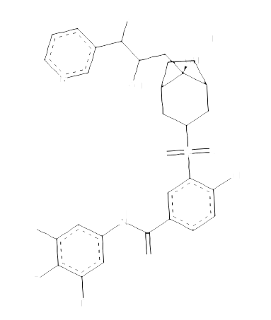 C[C@H]1CC2CC(S(=O)(=O)c3cc(C(=O)Nc4cc(F)c(F)c(F)c4)ccc3Cl)CC1[C@@]2(O)CC(O)C(O)c1cccnc1